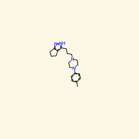 Cc1ccc(N2CCN(CCCc3[nH]nc4c3CCC4)CC2)cc1